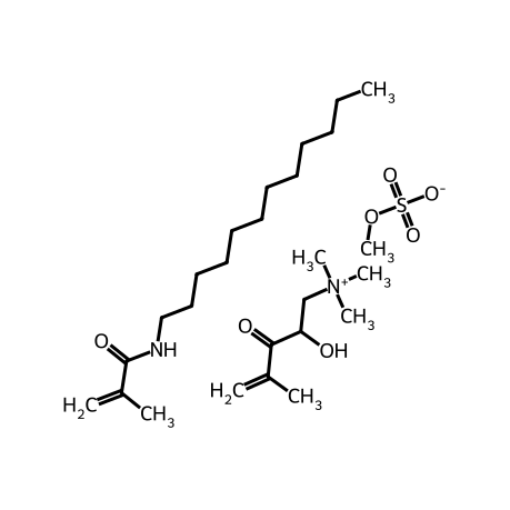 C=C(C)C(=O)C(O)C[N+](C)(C)C.C=C(C)C(=O)NCCCCCCCCCCCC.COS(=O)(=O)[O-]